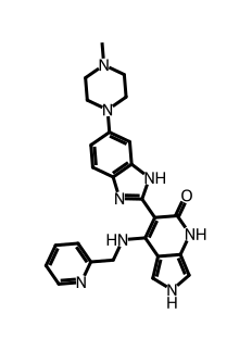 CN1CCN(c2ccc3nc(-c4c(NCc5ccccn5)c5c[nH]cc5[nH]c4=O)[nH]c3c2)CC1